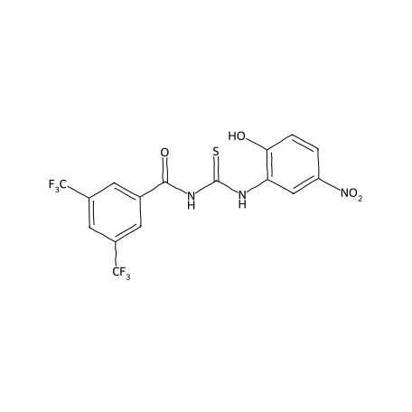 O=C(NC(=S)Nc1cc([N+](=O)[O-])ccc1O)c1cc(C(F)(F)F)cc(C(F)(F)F)c1